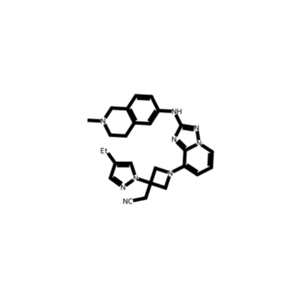 CCc1cnn(C2(CC#N)CN(c3cccn4nc(Nc5ccc6c(c5)CCN(C)C6)nc34)C2)c1